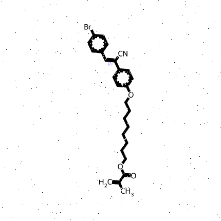 C=C(C)C(=O)OCCCCCCCCOc1ccc(/C(C#N)=C/c2ccc(Br)cc2)cc1